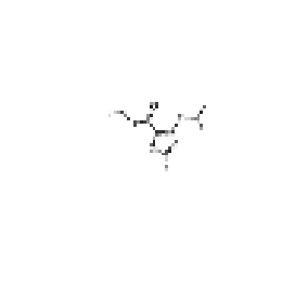 CCOC(=O)c1oc(C)cc1OC(C)C